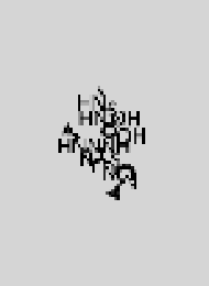 CCNC(=S)N[C@H]1C[C@@H](Nc2nc(NCC3CC3)nc(C)c2-c2nc3c(C4CC4)nccc3s2)[C@H](O)[C@@H]1O